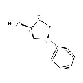 O=C(O)[C@@H]1C[C@@H](c2ccccc2)CN1